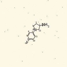 NC1CCN(c2ccc(F)cc2)C1